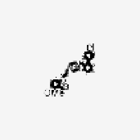 COC(=O)c1ccccc1OCCCN1CCN(Cc2ccccc2-c2ccc(Cl)cc2)CC1